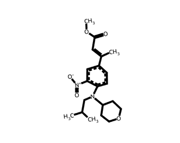 COC(=O)C=C(C)c1ccc(N(CC(C)C)C2CCOCC2)c([N+](=O)[O-])c1